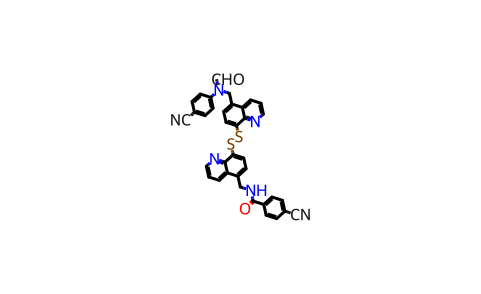 N#Cc1ccc(C(=O)NCc2ccc(SSc3ccc(CN(C=O)c4ccc(C#N)cc4)c4cccnc34)c3ncccc23)cc1